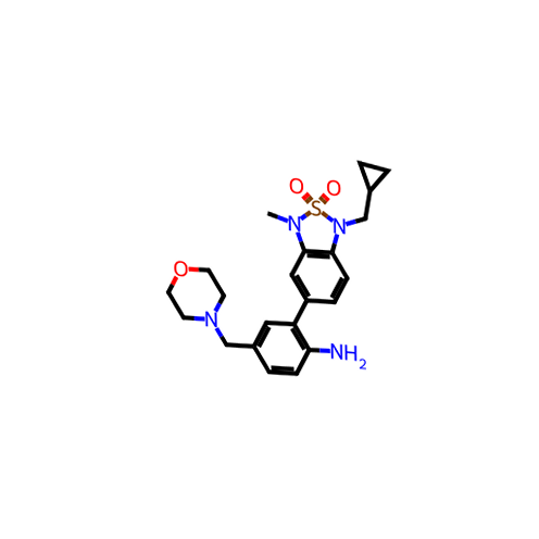 CN1c2cc(-c3cc(CN4CCOCC4)ccc3N)ccc2N(CC2CC2)S1(=O)=O